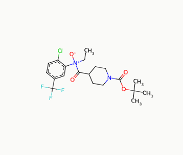 CC[N+]([O-])(C(=O)C1CCN(C(=O)OC(C)(C)C)CC1)c1cc(C(F)(F)F)ccc1Cl